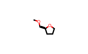 COC=C1CCCO1